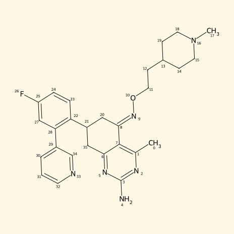 Cc1nc(N)nc2c1/C(=N/OCCC1CCN(C)CC1)CC(c1ccc(F)cc1-c1cccnc1)C2